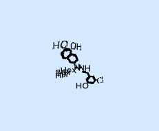 Br.Br.CCCCCCN(NCCc1cc(O)cc(Cl)c1)C1CCc2c(ccc(O)c2O)C1